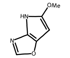 COc1cc2ocnc2[nH]1